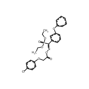 CCOP(=O)(OCC)C(=NOC(=O)COc1ccc(Cl)cc1)c1cccc(Oc2ccccc2)c1